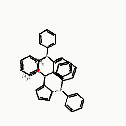 CN(C)C(C1=CC=C[C@H]1P(c1ccccc1)c1ccccc1)c1ccccc1P(c1ccccc1)c1ccccc1